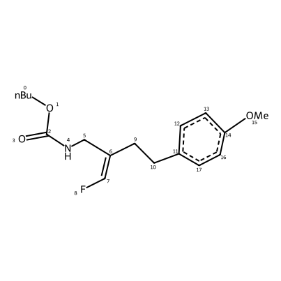 CCCCOC(=O)NCC(=CF)CCc1ccc(OC)cc1